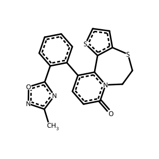 Cc1noc(-c2ccccc2-c2ccc(=O)n3c2-c2sccc2SCC3)n1